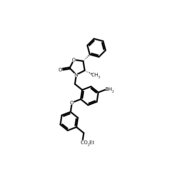 Bc1ccc(Oc2cccc(CC(=O)OCC)c2)c(CN2C(=O)O[C@H](c3ccccc3)[C@@H]2C)c1